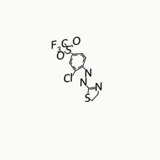 O=S(=O)(c1ccc(N=NC2=NCCS2)c(Cl)c1)C(F)(F)F